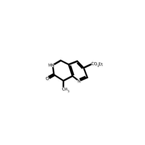 CCOC(=O)c1cnc2c(c1)CNC(=O)C2C